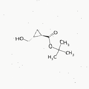 CC(C)(C)OC(=O)[C@@H]1C[C@H]1CO